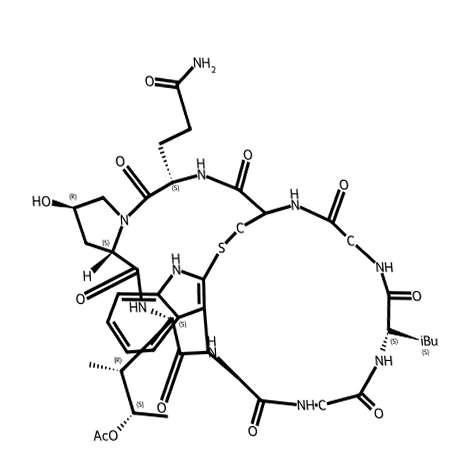 CC[C@H](C)[C@@H]1NC(=O)CNC(=O)C2Cc3c([nH]c4ccccc34)SCC(NC(=O)CNC1=O)C(=O)N[C@@H](CCC(N)=O)C(=O)N1C[C@H](O)C[C@H]1C(=O)N[C@@H]([C@@H](C)[C@H](C)OC(C)=O)C(=O)N2